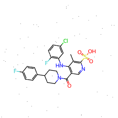 Cc1c(S(=O)(=O)O)ncc(C(=O)N2CCC(c3ccc(F)cc3)CC2)c1Nc1cc(Cl)ccc1F